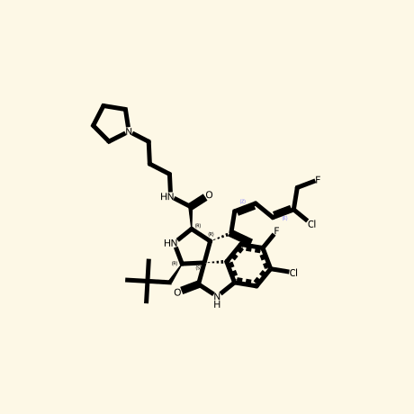 C=C(/C=C\C=C(\Cl)CF)[C@H]1[C@H](C(=O)NCCCN2CCCC2)N[C@H](CC(C)(C)C)[C@]12C(=O)Nc1cc(Cl)c(F)cc12